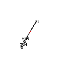 CCC=CCC=CCC=CCC=CCC=CCC=CCCC(=O)NCCSSCCNC(=O)c1ccccc1